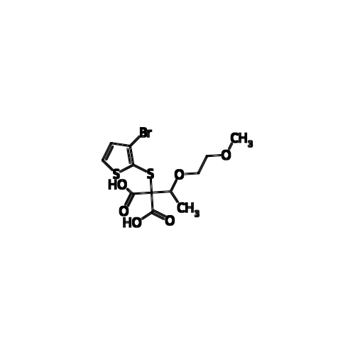 COCCOC(C)C(Sc1sccc1Br)(C(=O)O)C(=O)O